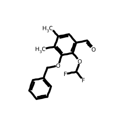 Cc1cc(C=O)c(OC(F)F)c(OCc2ccccc2)c1C